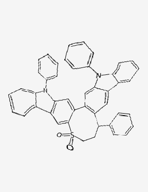 O=S1(=O)CCC(c2ccccc2)c2cc3c4ccccc4n(-c4ccccc4)c3cc2-c2cc3c(cc21)c1ccccc1n3-c1ccccc1